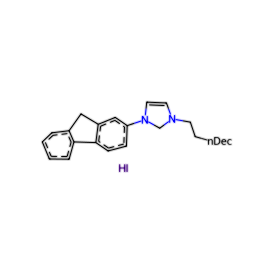 CCCCCCCCCCCCN1C=CN(c2ccc3c(c2)Cc2ccccc2-3)C1.I